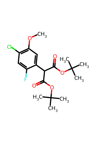 COc1cc(C(C(=O)OC(C)(C)C)C(=O)OC(C)(C)C)c(F)cc1Cl